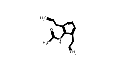 C=CCc1cccc(CC=C)c1NC(C)=O